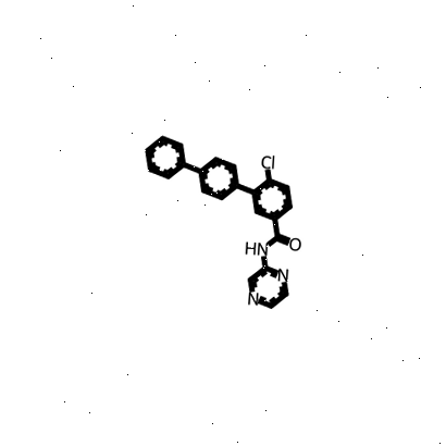 O=C(Nc1cnccn1)c1ccc(Cl)c(-c2ccc(-c3ccccc3)cc2)c1